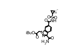 CC(C)COC(=O)Cn1nc(C(N)=O)c2ccc(C(=O)NS(=O)(=O)C3C[C@@H]3C)cc21